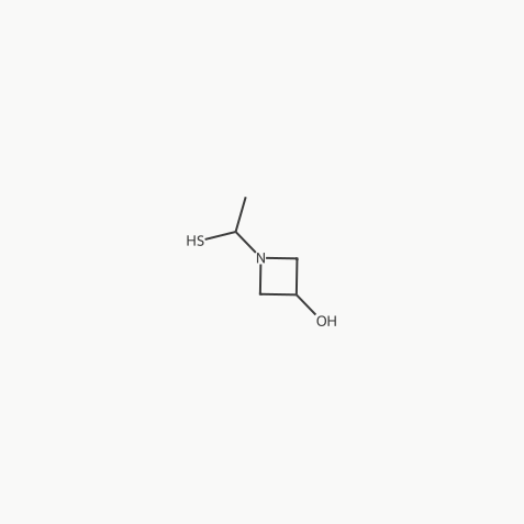 CC(S)N1CC(O)C1